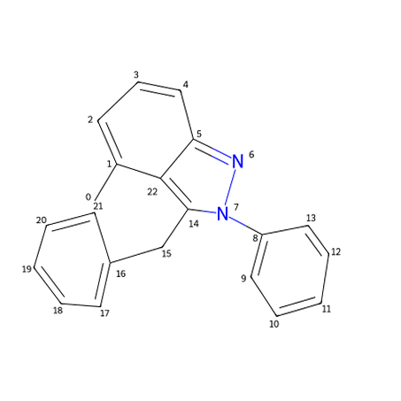 Cc1cccc2nn(-c3ccccc3)c(Cc3ccccc3)c12